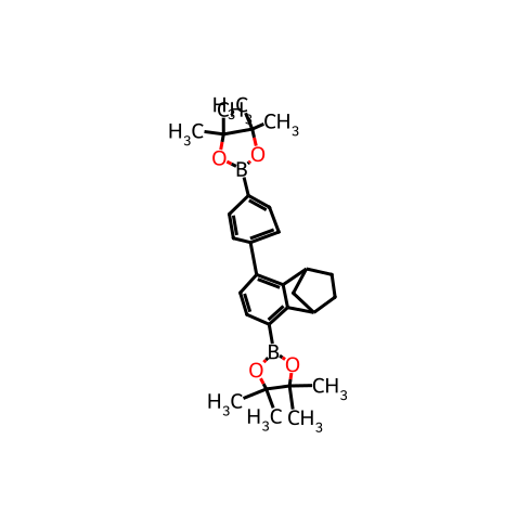 CC1(C)OB(c2ccc(-c3ccc(B4OC(C)(C)C(C)(C)O4)c4c3C3CCC4C3)cc2)OC1(C)C